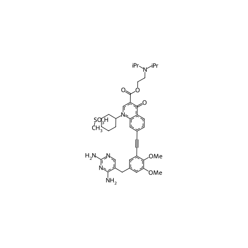 COc1cc(Cc2cnc(N)nc2N)cc(C#Cc2ccc3c(=O)c(C(=O)OCCN(C(C)C)C(C)C)cn(C4CCCCC4)c3c2)c1OC.CS(=O)(=O)O